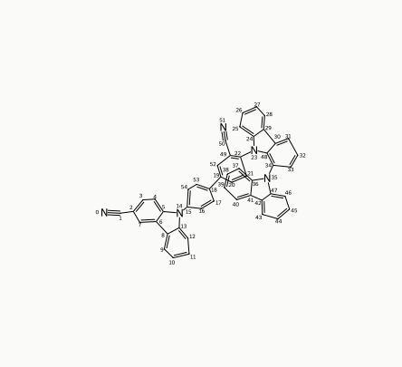 N#Cc1ccc2c(c1)c1ccccc1n2-c1ccc(-c2ccc(-n3c4ccccc4c4cccc(-n5c6ccccc6c6ccccc65)c43)c(C#N)c2)cc1